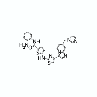 Nc1ccccc1NC(=O)c1ccc(Nc2nc(-c3cnc4cc(Cn5ccnc5)ccn34)cs2)s1